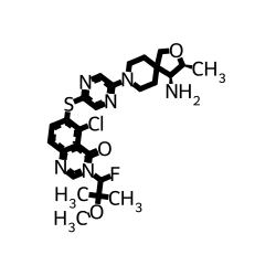 COC(C)(C)C(F)n1cnc2ccc(Sc3cnc(N4CCC5(CC4)CO[C@@H](C)[C@H]5N)cn3)c(Cl)c2c1=O